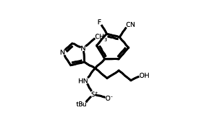 Cn1cncc1C(CCCO)(N[S+]([O-])C(C)(C)C)c1ccc(C#N)c(F)c1